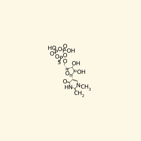 C=C1NC(=O)C([C@@H]2O[C@H](COP3(=S)OP(=O)(O)OP(=O)(O)O3)C(O)[C@@H]2O)=CN1C